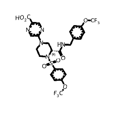 O=C(O)c1cnc(N2CCN(S(=O)(=O)c3ccc(OC(F)(F)F)cc3)[C@@H](C(=O)NCc3ccc(OC(F)(F)F)cc3)C2)cn1